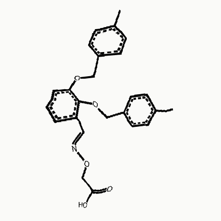 Cc1ccc(COc2cccc(C=NOCC(=O)O)c2OCc2ccc(C)cc2)cc1